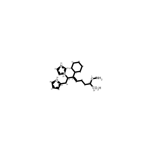 NOC(CC/C=C(\C1CCCCC1)C(Cc1ccco1)n1ccnc1)C(=O)O